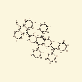 O=c1c2ccccc2n(-c2ccc3c(-c4ccccc4)c4cc(N(c5ccccc5)c5ccccc5)ccc4c(-c4ccccc4)c3c2)c2ccccc12